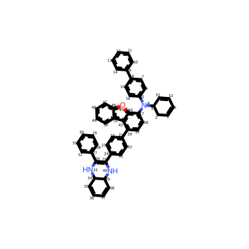 C1=CCC(N(c2ccc(-c3ccccc3)cc2)c2ccc(-c3ccc(C4=C(c5ccccc5)NC5C=CC=CC5N4)cc3)c3c2oc2ccccc23)C=C1